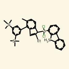 CCC1=Cc2c(ccc(C)c2-c2cc([Si](C)(C)C)cc([Si](C)(C)C)c2)[CH]1[Zr]([Cl])([Cl])[c]1cccc2c1[SiH2]c1ccccc1-2